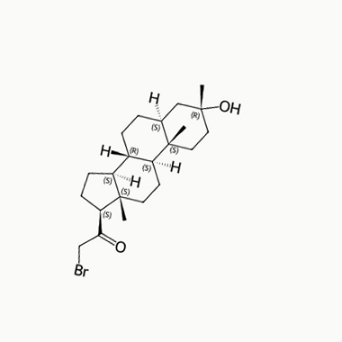 C[C@@]1(O)CC[C@@]2(C)[C@@H](CC[C@@H]3[C@@H]2CC[C@]2(C)[C@@H](C(=O)CBr)CC[C@@H]32)C1